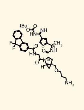 C[C@@H](NC(=O)[C@@H]1C[C@]2(COCCCN)C[C@@H]2N1C(=O)CNC(=O)c1ccc2c(c1)-c1ccccc1C2(F)F)c1cc(C(=N)NC(=O)OC(C)(C)C)cs1